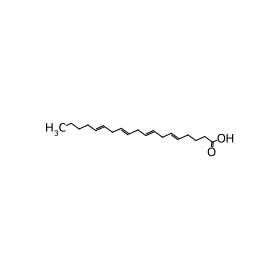 CCCCC=CCC=CCC=CCC=CCCCC(=O)O